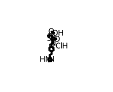 CC1(C)SC2C(N=CN3CCC(CCC4=NCCN4)CC3)C(=O)N2[C@H]1C(=O)O.Cl